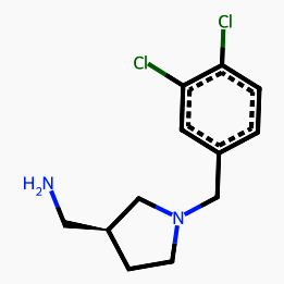 NC[C@@H]1CCN(Cc2ccc(Cl)c(Cl)c2)C1